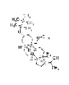 COC[C@]12CCC(O[Si](C)(C)C(C)(C)C)C[C@@H]1CC[C@H]1[C@@H]3CC[C@H](C(C)O)[C@@]3(C)CC[C@@H]12